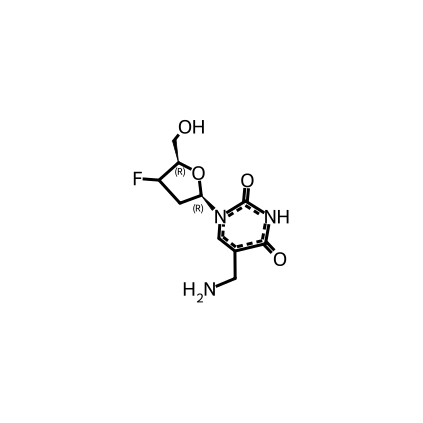 NCc1cn([C@H]2CC(F)[C@@H](CO)O2)c(=O)[nH]c1=O